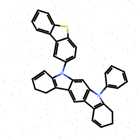 C1=Cc2c(c3cc4c5c(n(-c6ccccc6)c4cc3n2-c2ccc3sc4ccccc4c3c2)CCC=C5)CC1